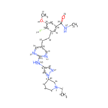 CCN1CCC[C@@H](n2cc(Nc3ncc(CCc4cc(C(=O)NC)cc(OC)c4F)cn3)cn2)C1